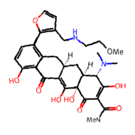 CNC(=O)C1=C(O)[C@@H](N(C)C)[C@@H]2C[C@@H]3Cc4c(-c5occc5CNCCOC)ccc(O)c4C(=O)C3=C(O)[C@]2(O)C1=O